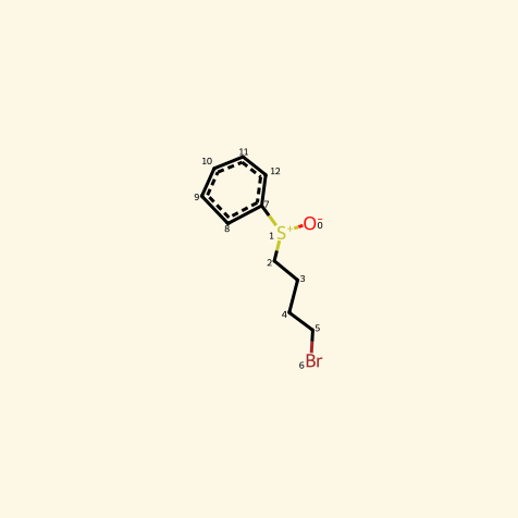 [O-][S+](CCCCBr)c1ccccc1